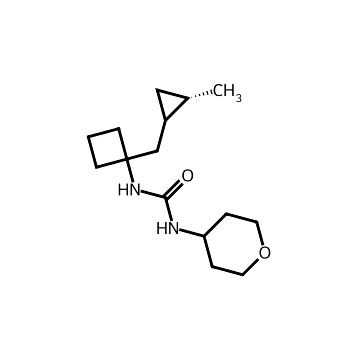 C[C@H]1CC1CC1(NC(=O)NC2CCOCC2)CCC1